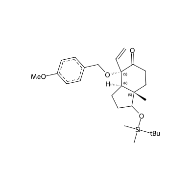 C=C[C@@]1(OCc2ccc(OC)cc2)C(=O)CC[C@]2(C)C(O[Si](C)(C)C(C)(C)C)CC[C@@H]12